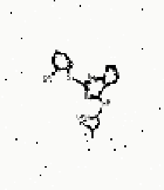 CCc1ccccc1Sc1nc(Nc2cc(C)n[nH]2)c2ccccc2n1